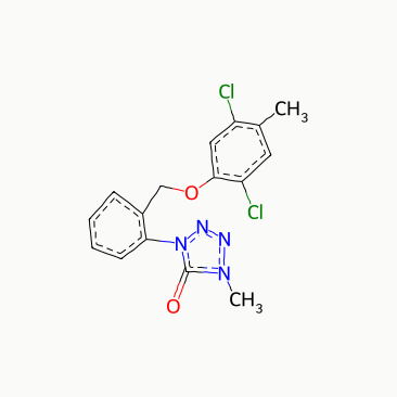 Cc1cc(Cl)c(OCc2ccccc2-n2nnn(C)c2=O)cc1Cl